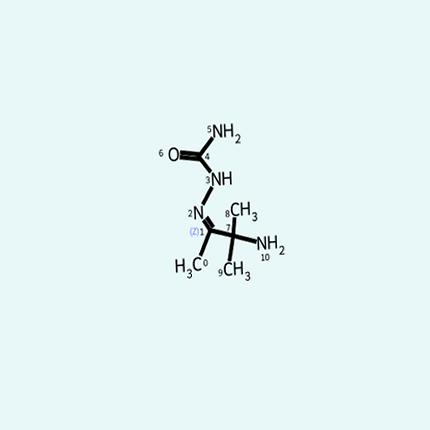 C/C(=N/NC(N)=O)C(C)(C)N